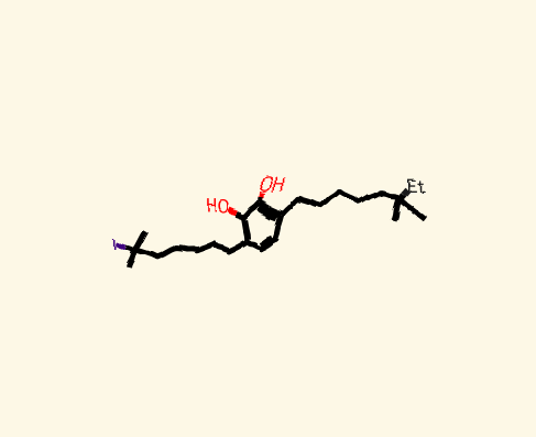 CCC(C)(C)CCCCCc1ccc(CCCCCC(C)(C)I)c(O)c1O